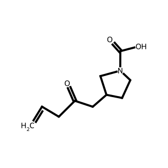 C=CCC(=O)CC1CCN(C(=O)O)C1